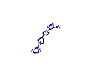 N#Cc1cc(N2CCC(C3CCN(c4cnccn4)CC3)CC2)ncn1